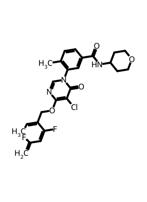 C=C(F)/C=C(F)\C(=C/C)COc1ncn(-c2cc(C(=O)NC3CCOCC3)ccc2C)c(=O)c1Cl